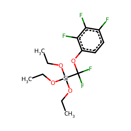 CCO[Si](OCC)(OCC)C(F)(F)Oc1ccc(F)c(F)c1F